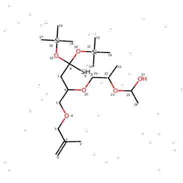 C=C(C)COCC(CC([SiH3])(O[Si](C)(C)C)O[Si](C)(C)C)OCC(C)OC(C)O